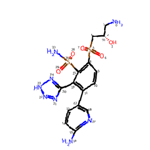 NC[C@H](O)CS(=O)(=O)c1ccc(-c2ccc(N)nc2)c(-c2nn[nH]n2)c1S(N)(=O)=O